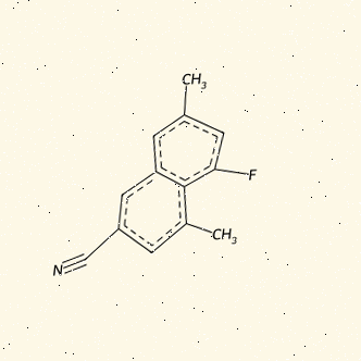 Cc1cc(F)c2c(C)cc(C#N)cc2c1